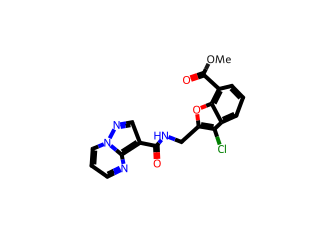 COC(=O)c1cccc2c(Cl)c(CNC(=O)c3cnn4cccnc34)oc12